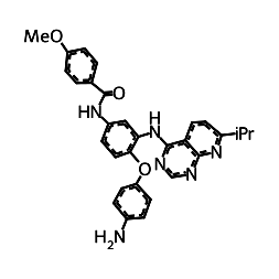 COc1ccc(C(=O)Nc2ccc(Oc3ccc(N)cc3)c(Nc3ncnc4nc(C(C)C)ccc34)c2)cc1